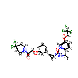 CC(NC(=O)[C@H]1C[C@@H]1c1cccc(OCC(=O)N2CCC(F)(F)CC2)c1)c1ccc(OCC(F)(F)F)cn1